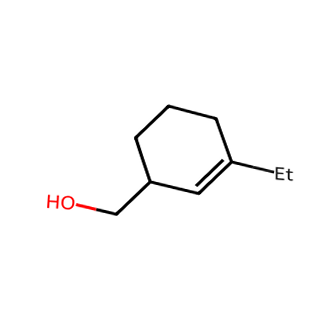 CCC1=CC(CO)CCC1